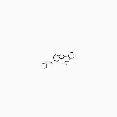 CC1(C)Cc2cnc(N)nc2-c2[nH]c3ccc(C(=O)NC4CCNC4)cc3c21